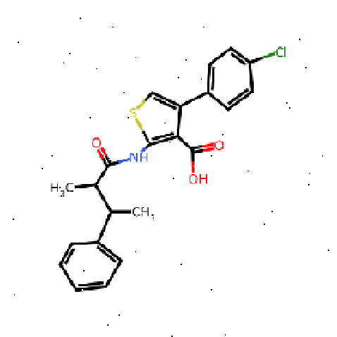 CC(C(=O)Nc1scc(-c2ccc(Cl)cc2)c1C(=O)O)C(C)c1ccccc1